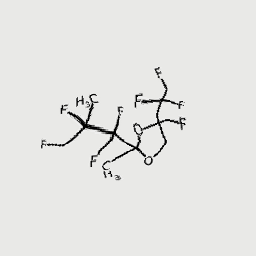 CC(F)(CF)C(F)(F)C1(C)OCC(F)(C(F)(F)F)O1